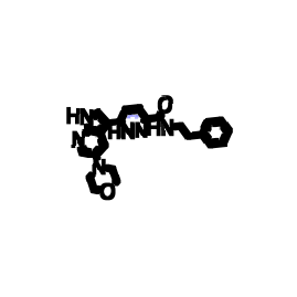 N=C(/C=C\C(=N)c1c[nH]c2ncc(N3CCOCC3)cc12)C(=O)NCCc1ccccc1